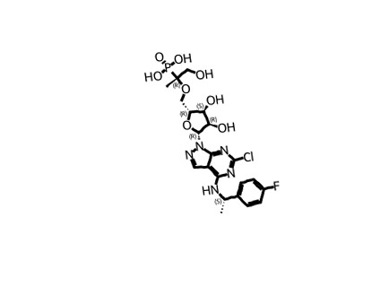 C[C@H](Nc1nc(Cl)nc2c1cnn2[C@@H]1O[C@H](CO[C@@](C)(CO)P(=O)(O)O)[C@@H](O)[C@H]1O)c1ccc(F)cc1